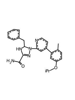 Cc1ccc(OC(C)C)cc1-c1ccnc(N2N=C(C(N)=O)NC2Cc2ccccc2)c1